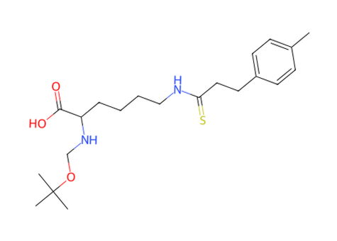 Cc1ccc(CCC(=S)NCCCCC(NCOC(C)(C)C)C(=O)O)cc1